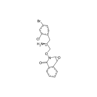 N[C@H](CON1C(=O)c2ccccc2C2OC21)Cc1ccc(Br)cc1Cl